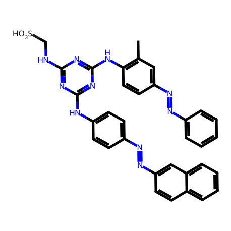 Cc1cc(N=Nc2ccccc2)ccc1Nc1nc(NCS(=O)(=O)O)nc(Nc2ccc(N=Nc3ccc4ccccc4c3)cc2)n1